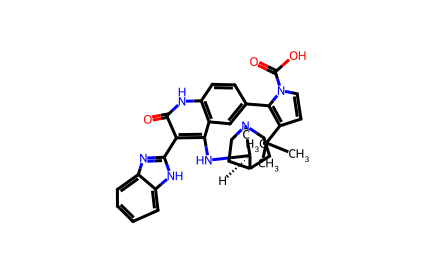 CC(C)(C)c1ccn(C(=O)O)c1-c1ccc2[nH]c(=O)c(-c3nc4ccccc4[nH]3)c(N[C@H]3CN4CCC3CC4)c2c1